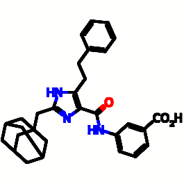 O=C(O)c1cccc(NC(=O)c2nc(CC34CC5CC(CC(C5)C3)C4)[nH]c2CCc2ccccc2)c1